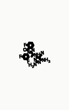 CC(Nc1nc(N)nc(N)c1C#N)c1nc2cccc(F)c2c(=O)n1-c1cc(F)cc(F)c1